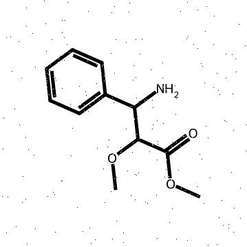 COC(=O)C(OC)C(N)c1ccccc1